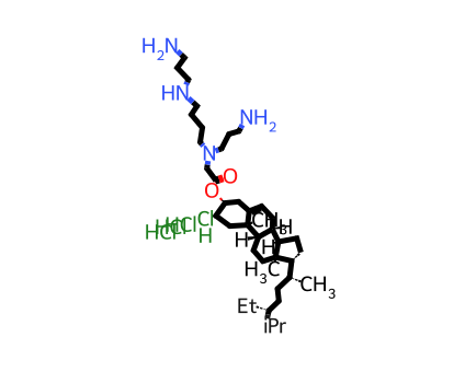 CC[C@H](CC[C@@H](C)[C@H]1CC[C@H]2[C@@H]3CC=C4C[C@@H](OC(=O)CN(CCCN)CCCCNCCCN)CC[C@]4(C)[C@H]3CC[C@]12C)C(C)C.Cl.Cl.Cl.Cl